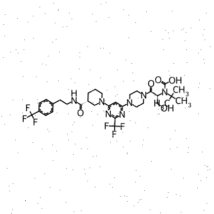 CC(C)(C)N(C(=O)O)[C@@H](CO)C(=O)N1CCN(c2cc(N3CCC[C@@H](C(=O)NCCc4ccc(C(F)(F)F)cc4)C3)nc(C(F)(F)F)n2)CC1